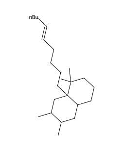 CCCCC=CC[CH]CCC12CC(C)C(C)CC1CCCC2(C)C